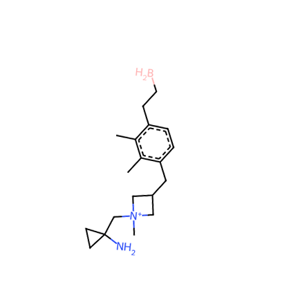 BCCc1ccc(CC2C[N+](C)(CC3(N)CC3)C2)c(C)c1C